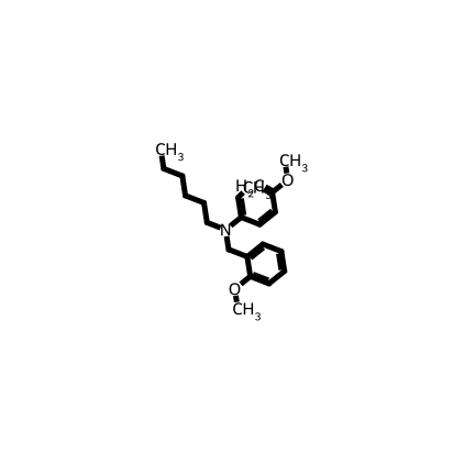 C=C(/C=C\C(=C/C)N(CCCCCC)Cc1ccccc1OC)OC